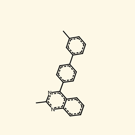 Cc1cccc(-c2ccc(-c3nc(C)nc4ccccc34)cc2)c1